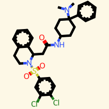 CN(C)C1(c2ccccc2)CCC(NC(=O)CC2c3ccccc3CCN2S(=O)(=O)c2ccc(Cl)c(Cl)c2)CC1